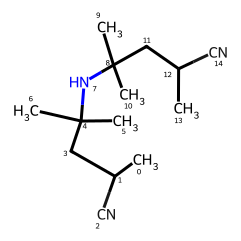 CC(C#N)CC(C)(C)NC(C)(C)CC(C)C#N